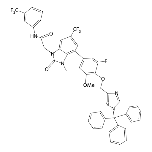 COc1cc(-c2cc(C(F)(F)F)cc3c2n(C)c(=O)n3CC(=O)Nc2cccc(C(F)(F)F)c2)cc(F)c1OCc1ncn(C(c2ccccc2)(c2ccccc2)c2ccccc2)n1